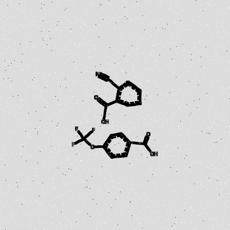 N#Cc1ccccc1C(=O)O.O=C(O)c1ccc(OC(F)(F)F)cc1